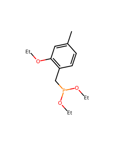 CCOc1cc(C)ccc1CP(OCC)OCC